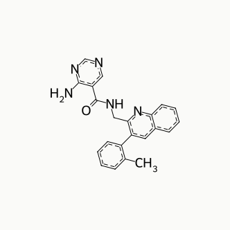 Cc1ccccc1-c1cc2ccccc2nc1CNC(=O)c1cncnc1N